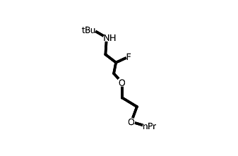 CCCOCCOCC(F)CNC(C)(C)C